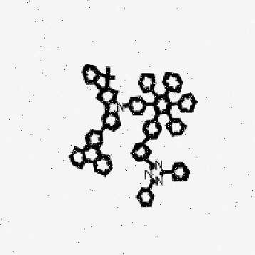 CC1(C)c2ccccc2-c2cc3c4cc(-c5ccc6c7ccccc7c7ccccc7c6c5)ccc4n(-c4ccc(-c5c(-c6ccccc6)c(-c6ccccc6)c(-c6ccccc6)c(-c6ccccc6)c5-c5ccc(-c6cccc(-c7nc(-c8ccccc8)nc(-c8ccccc8)n7)c6)cc5)cc4)c3cc21